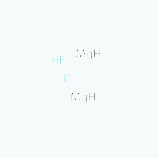 F.F.[MgH2].[MgH2]